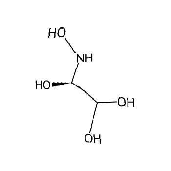 ON[C@H](O)C(O)O